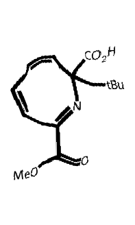 COC(=O)C1=NC(C(=O)O)(C(C)(C)C)C=CC=C1